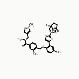 Cc1ccc(OCc2ccc(C(=O)N(C)Cc3cnn(C)c3)cc2C)c(-c2csc(N3C[C@H]4CC[C@@H](C3)[C@H]4C(=O)O)n2)c1